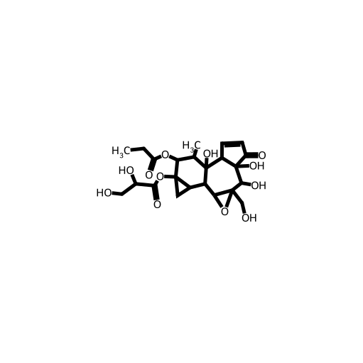 CCC(=O)OC1C(C)C2(O)C(C3CC31OC(=O)C(O)CO)C1OC1(CO)C(O)C1(O)C(=O)C=CC12